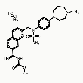 COC(=O)NC(=N)c1ccc2ccc(CN(c3ccc(N4CCCN(C)CC4)cc3)S(N)(=O)=O)cc2c1.Cl.Cl.Cl